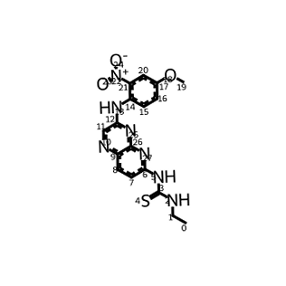 CCNC(=S)Nc1ccc2ncc(Nc3ccc(OC)cc3[N+](=O)[O-])nc2n1